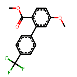 COC(=O)c1ccc(OC)cc1-c1ccc(C(F)(F)F)cc1